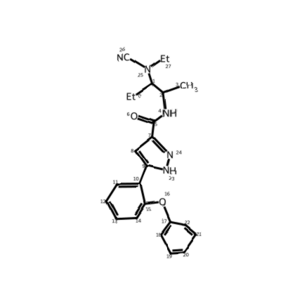 CCC(C(C)NC(=O)c1cc(-c2ccccc2Oc2ccccc2)[nH]n1)N(C#N)CC